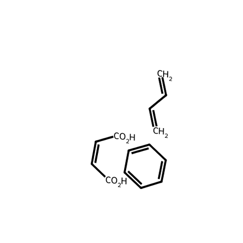 C=CC=C.O=C(O)/C=C\C(=O)O.c1ccccc1